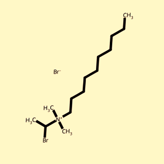 CCCCCCCCCC[N+](C)(C)C(C)Br.[Br-]